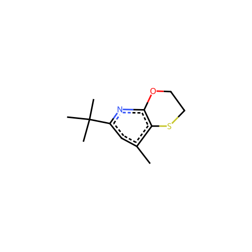 Cc1cc(C(C)(C)C)nc2c1SCCO2